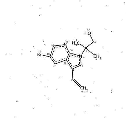 C=Cc1cn(C(C)(C)CO)c2ncc(Br)cc12